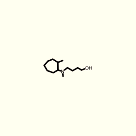 CC1CCCCCC1N(C)CCCCO